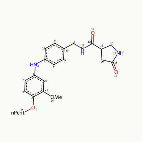 CCCCCOc1ccc(Nc2ccc(CNC(=O)C3CNC(=O)C3)cc2)cc1OC